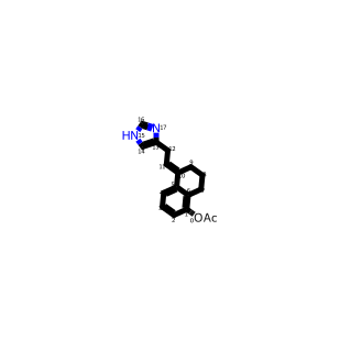 CC(=O)Oc1cccc2c1CCCC2=CCc1c[nH]cn1